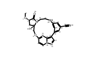 CO[C@@H]1C[C@H]2COc3ccn4ncc(c4n3)-c3cc(C#N)cc(c3)NCCN2C1=O